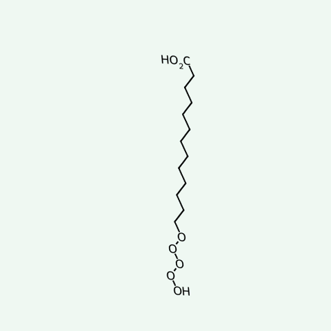 O=C(O)CCCCCCCCCCCCOOOOO